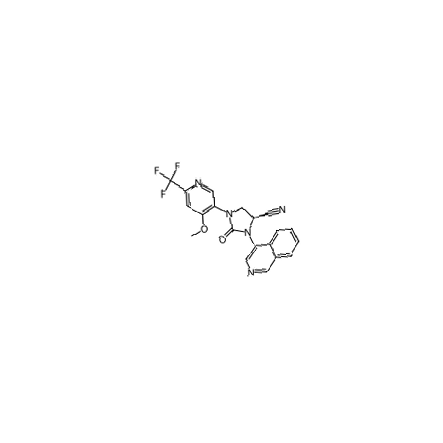 COc1cc(C(F)(F)F)ncc1N1C[C@@H](C#N)N(c2cncc3ccccc23)C1=O